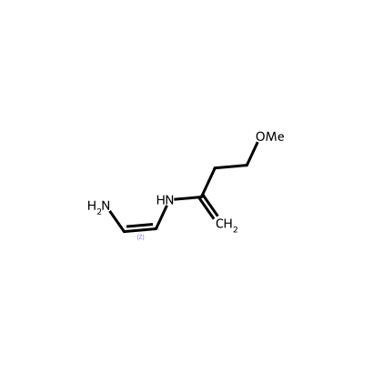 C=C(CCOC)N/C=C\N